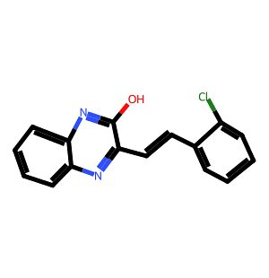 Oc1nc2ccccc2nc1/C=C/c1ccccc1Cl